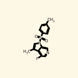 Cc1ccc(S(=O)(=O)n2cc(C)c3c(F)cncc32)cc1